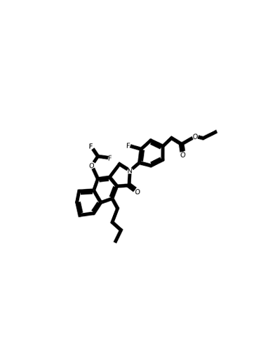 CCCCc1c2c(c(OC(F)F)c3ccccc13)CN(c1ccc(CC(=O)OCC)cc1F)C2=O